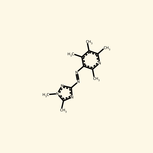 Cc1nc(C)c(N=Nc2nc(C)n(C)n2)c(C)c1C